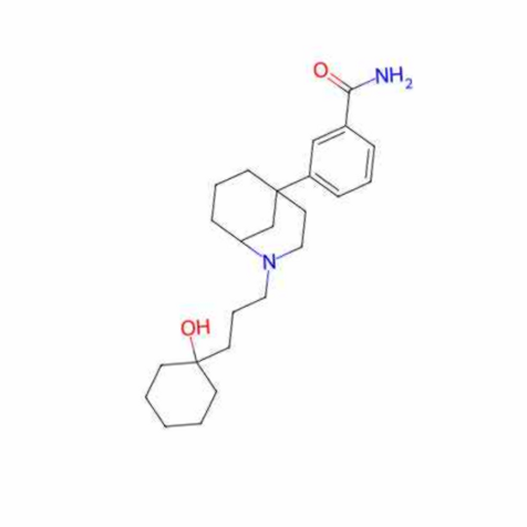 NC(=O)c1cccc(C23CCCC(C2)N(CCCC2(O)CCCCC2)CC3)c1